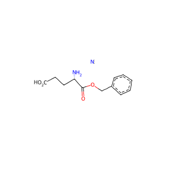 N[C@@H](CCC(=O)O)C(=O)OCc1ccccc1.[N]